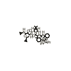 CC(C)N(C(C)C)S(=O)(=O)CC1(NC(=O)N[C@H](C(=O)N2C[C@H]3[C@@H]([C@H]2C(=O)N[C@@H](CCC2CC2)C(=O)C(=O)NC2CC2)C3(C)C)C2(C)CCCCC2)CCCCC1